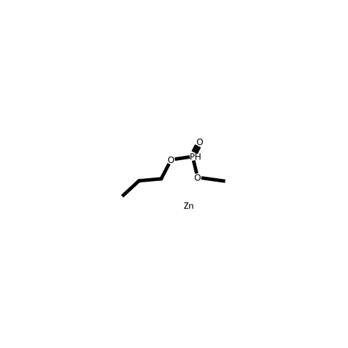 CCCO[PH](=O)OC.[Zn]